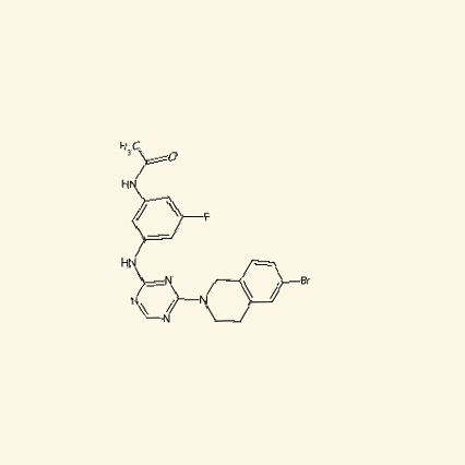 CC(=O)Nc1cc(F)cc(Nc2ncnc(N3CCc4cc(Br)ccc4C3)n2)c1